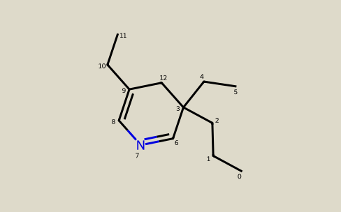 CCCC1(CC)C=NC=C(CC)C1